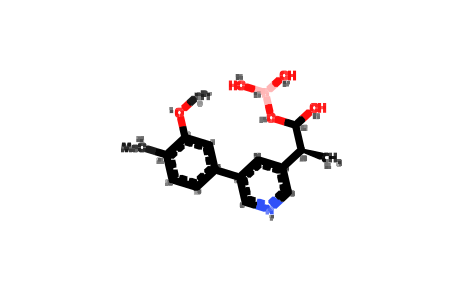 CCCOc1cc(-c2cncc([C@H](C)C(O)OB(O)O)c2)ccc1OC